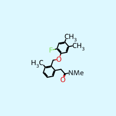 CNC(=O)Cc1cccc(C)c1COc1cc(C)c(C)cc1F